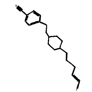 N#Cc1ccc(CCC2CCC(CCCC=CF)CC2)cc1